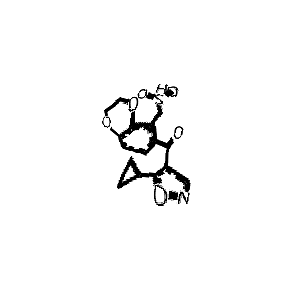 O=C(c1cnoc1C1CC1)c1ccc2c(c1C[SH](=O)=O)OCCO2